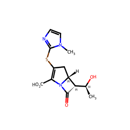 C[C@H](O)[C@@H]1C(=O)N2C(C(=O)O)=C(Sc3nccn3C)C[C@H]12